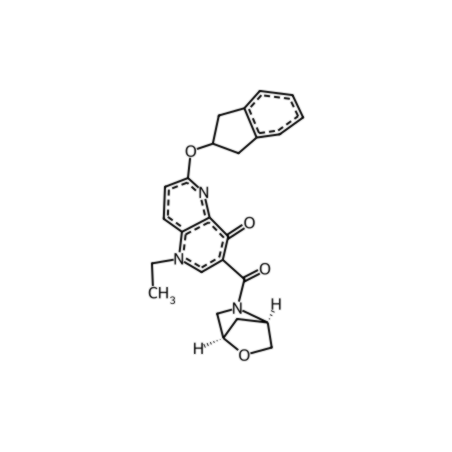 CCn1cc(C(=O)N2C[C@H]3C[C@@H]2CO3)c(=O)c2nc(OC3Cc4ccccc4C3)ccc21